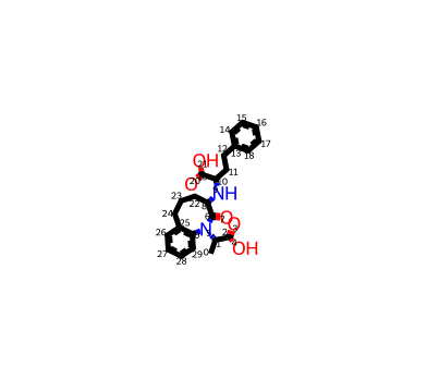 CC(C(=O)O)N1C(=O)C(NC(CCc2ccccc2)C(=O)O)CCCc2ccccc21